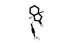 CC#CC[C@H]1C(=O)C[C@H]2CCCC[C@@H]21